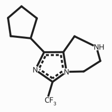 FC(F)(F)c1nc(C2CCCC2)c2n1CCNC2